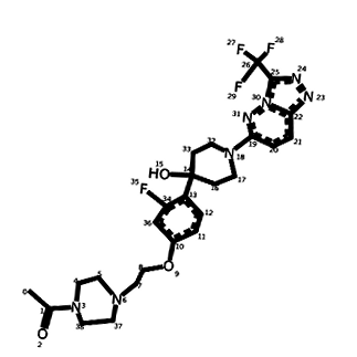 CC(=O)N1CCN(CCOc2ccc(C3(O)CCN(c4ccc5nnc(C(F)(F)F)n5n4)CC3)c(F)c2)CC1